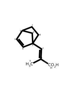 CC(=CC12C=CC(CC1)C2)C(=O)O